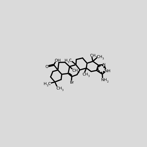 CC1(C)CCC2(C(=O)O)CCC3(C)C(=C(Br)CC4C5(C)Cc6c(n[nH]c6N)C(C)(C)C5CCC43C)C2C1